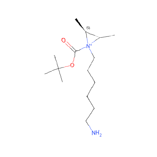 CC1[C@H](C)[N+]1(CCCCCCN)C(=O)OC(C)(C)C